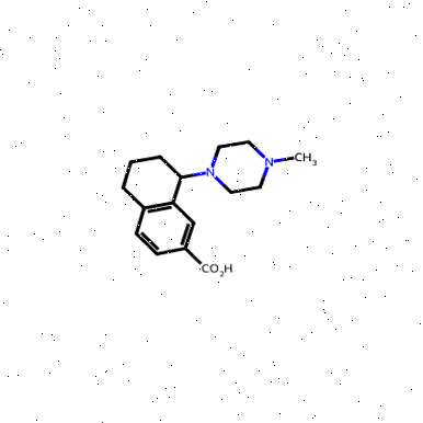 CN1CCN(C2CCCc3ccc(C(=O)O)cc32)CC1